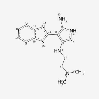 CN(C)CCNc1n[nH]c(N)c1-c1nc2ccccc2s1